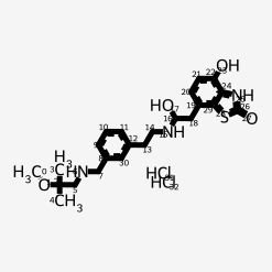 COC(C)(C)CNCc1cccc(CCNC(O)Cc2ccc(O)c3[nH]c(=O)sc23)c1.Cl.Cl